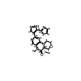 CC[C@@]12COCCN1c1nc(-c3cn[nH]c3-c3nccs3)ncc1N(C)C2=O